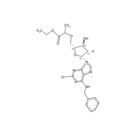 CCOC(=O)C(C)OC[C@H]1O[C@@H](n2cnc3c(NCc4ccccc4)nc(Cl)nc32)[C@@H](F)[C@@H]1O